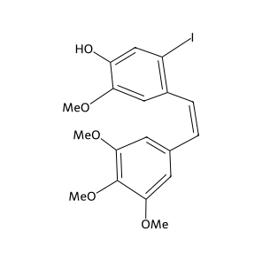 COc1cc(/C=C\c2cc(OC)c(OC)c(OC)c2)c(I)cc1O